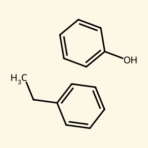 CCc1ccccc1.Oc1ccccc1